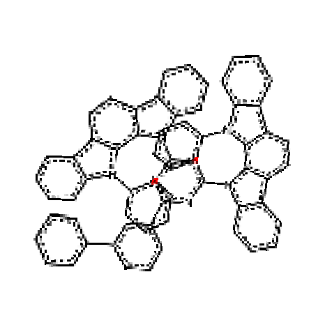 c1ccc(-c2cccc(-c3nc(-n4c5ccccc5c5ccc6c7ccccc7n(-c7ccccc7)c6c54)nc(-n4c5ccccc5c5ccc6c7ccccc7n(-c7ccccc7)c6c54)n3)c2)cc1